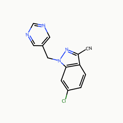 N#Cc1nn(Cc2cncnc2)c2cc(Cl)ccc12